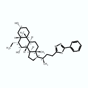 CC[C@H]1[C@@H](O)[C@@H]2[C@H](CC[C@]3(C)[C@@H]([C@H](C)CCc4nnc(-c5ccccc5)s4)CC[C@@H]23)[C@@]2(C)CC[C@@H](O)C[C@@H]12